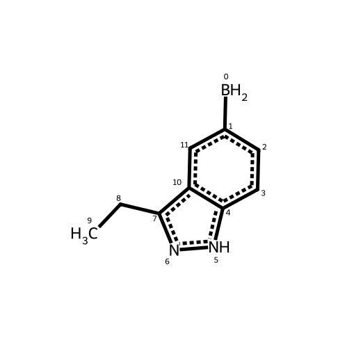 Bc1ccc2[nH]nc(CC)c2c1